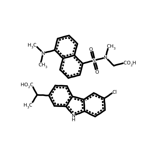 CC(C(=O)O)c1ccc2c(c1)[nH]c1ccc(Cl)cc12.CN(C)c1cccc2c(S(=O)(=O)N(C)CC(=O)O)cccc12